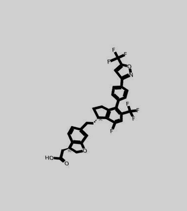 O=C(O)C[C@@H]1COc2cc(CC[C@@H]3CCc4c(-c5ccc(-c6cc(C(F)(F)F)on6)cc5)c(C(F)(F)F)cc(F)c43)ccc21